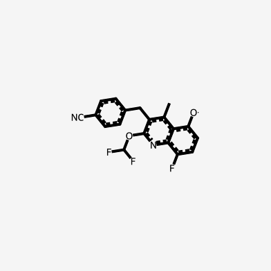 Cc1c(Cc2ccc(C#N)cc2)c(OC(F)F)nc2c(F)ccc([O])c12